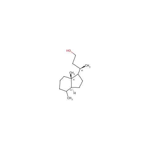 CC1CCC[C@]2(C)C([C@H](C)CCO)CC[C@@H]12